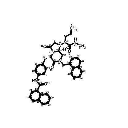 CCCN(C(=O)NC)N1CC(=O)N2[C@@H](Cc3ccc(NC(=O)c4cccc5ccccc45)cc3)C(=O)N(Cc3cccc4ccccc34)C[C@@H]21